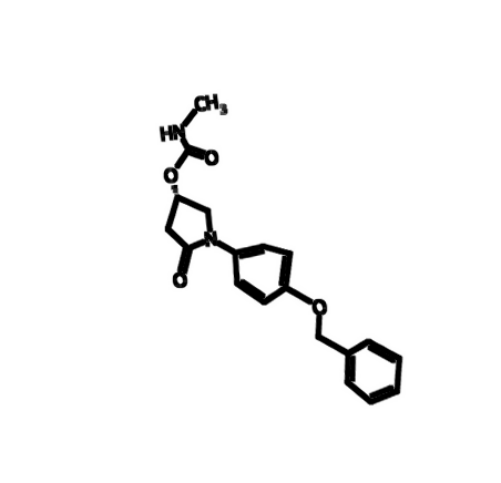 CNC(=O)O[C@H]1CC(=O)N(c2ccc(OCc3ccccc3)cc2)C1